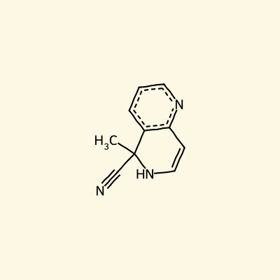 CC1(C#N)NC=Cc2ncccc21